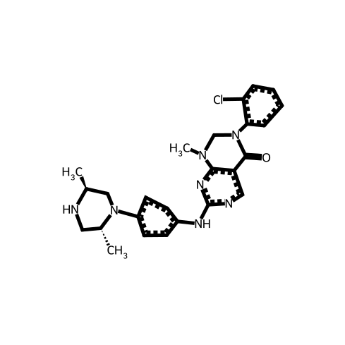 C[C@@H]1CN[C@@H](C)CN1c1ccc(Nc2ncc3c(n2)N(C)CN(c2ccccc2Cl)C3=O)cc1